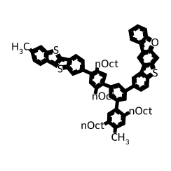 CCCCCCCCc1cc(-c2cc(-c3ccc4sc5cc6oc7ccccc7c6cc5c4c3)cc(-c3cc(CCCCCCCC)c(-c4ccc5c(c4)sc4c6ccc(C)cc6sc54)cc3CCCCCCCC)c2)c(CCCCCCCC)cc1C